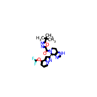 CC(C)(C)c1nnc(C(=O)N2CCc3[nH]cnc3[C@H]2c2cc3c(OC(F)F)cccn3n2)o1